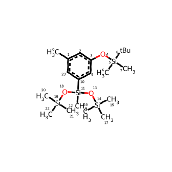 Cc1cc(O[Si](C)(C)C(C)(C)C)cc([Si](C)(O[Si](C)(C)C)O[Si](C)(C)C)c1